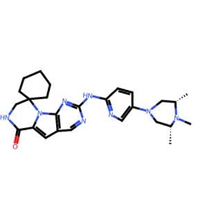 C[C@@H]1CN(c2ccc(Nc3ncc4cc5n(c4n3)C3(CCCCC3)CNC5=O)nc2)C[C@H](C)N1C